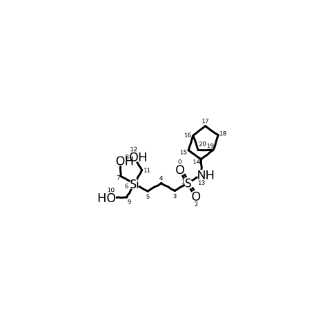 O=S(=O)(CCC[Si](CO)(CO)CO)NC1CC2CCC1C2